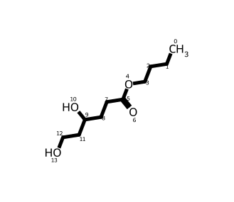 CCCCOC(=O)CCC(O)CCO